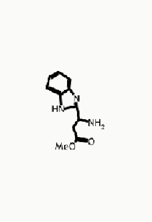 COC(=O)CC(N)c1nc2ccccc2[nH]1